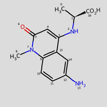 C[C@H](Nc1cc(=O)n(C)c2ccc(N)cc12)C(=O)O